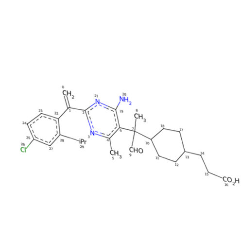 C=C(c1nc(C)c(C(C)(C=O)C2CCC(CCC(=O)O)CC2)c(N)n1)c1ccc(Cl)cc1C(C)C